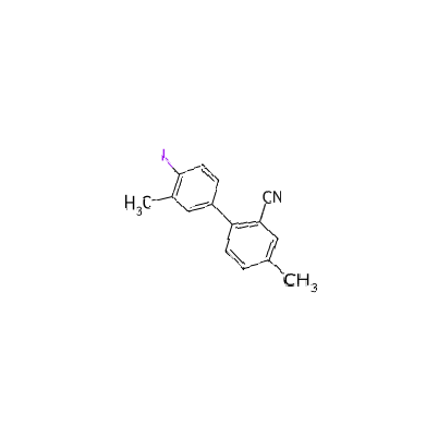 Cc1ccc(-c2ccc(I)c(C)c2)c(C#N)c1